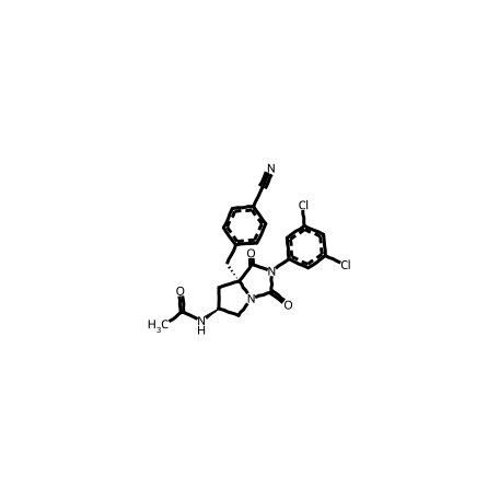 CC(=O)N[C@@H]1CN2C(=O)N(c3cc(Cl)cc(Cl)c3)C(=O)[C@]2(Cc2ccc(C#N)cc2)C1